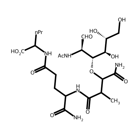 CCCC(NC(=O)CCC(NC(=O)C(C)C(O[C@@H]([C@H](O)[C@H](O)CO)[C@H](C=O)NC(C)=O)C(N)=O)C(N)=O)C(=O)O